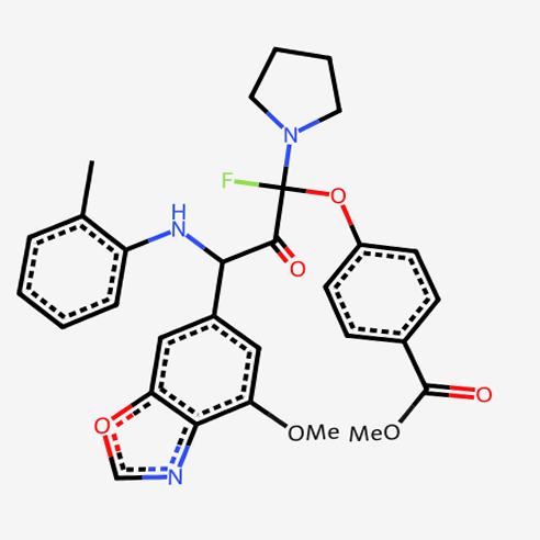 COC(=O)c1ccc(OC(F)(C(=O)C(Nc2ccccc2C)c2cc(OC)c3ncoc3c2)N2CCCC2)cc1